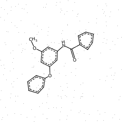 COc1cc(NC(=O)c2ccccc2)cc(Oc2ccccc2)c1